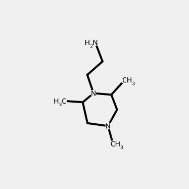 CC1CN(C)CC(C)N1CCN